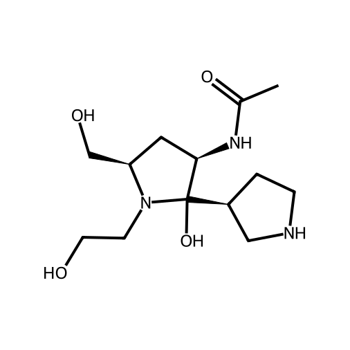 CC(=O)N[C@@H]1C[C@H](CO)N(CCO)C1(O)[C@H]1CCNC1